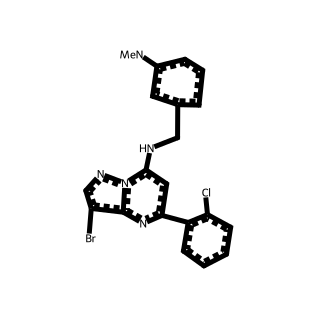 CNc1cccc(CNc2cc(-c3ccccc3Cl)nc3c(Br)cnn23)c1